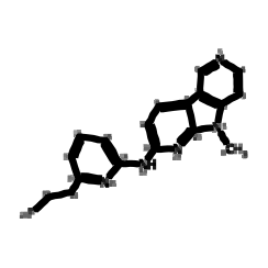 Cn1c2ccncc2c2ccc(Nc3cccc(CCF)n3)nc21